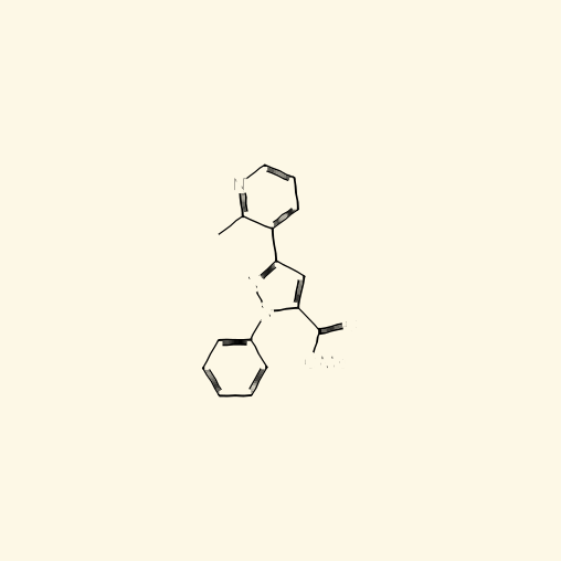 COC(=O)c1cc(-c2cccnc2C)nn1-c1ccccc1